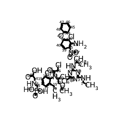 CCNc1nc(Cl)nc(NC(C)C)n1.CCc1cccc(C)c1N(C(=O)CCl)C(C)COC.Nc1c([N+](=O)[O-])ccc(Oc2ccccc2)c1Cl.O=C(O)CNCP(=O)(O)O